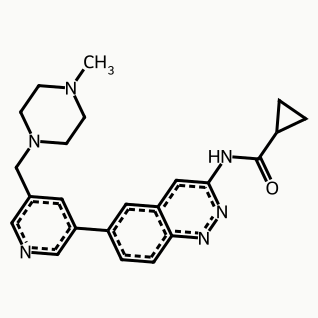 CN1CCN(Cc2cncc(-c3ccc4nnc(NC(=O)C5CC5)cc4c3)c2)CC1